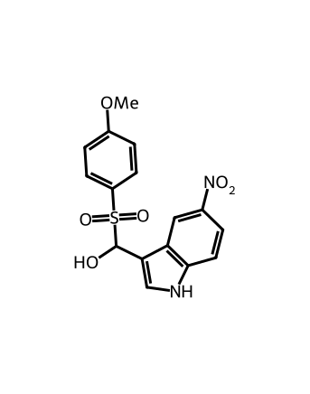 COc1ccc(S(=O)(=O)C(O)c2c[nH]c3ccc([N+](=O)[O-])cc23)cc1